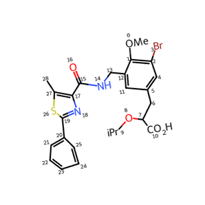 COc1c(Br)cc(CC(OC(C)C)C(=O)O)cc1CNC(=O)c1nc(-c2ccccc2)sc1C